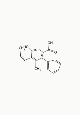 C/C=C\c1c(O)cc(C(=O)O)c(-c2ccccc2)c1C